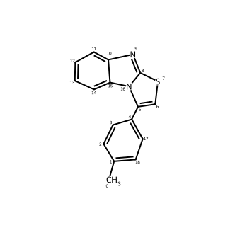 Cc1ccc(-c2csc3nc4ccccc4n23)cc1